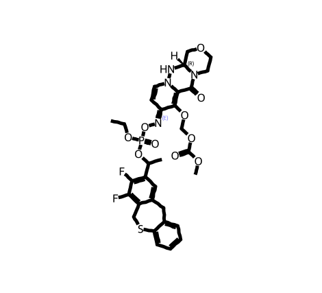 CCOP(=O)(O/N=c1\ccn2c(c1OCOC(=O)OC)C(=O)N1CCOC[C@H]1N2)OC(C)c1cc2c(c(F)c1F)CSc1ccccc1C2